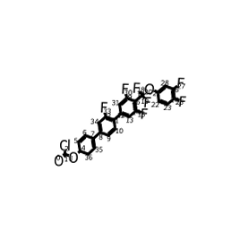 O=C(Cl)OC1C=CC(c2ccc(-c3cc(F)c(C(F)(F)Oc4ccc(F)c(F)c4)c(F)c3)c(F)c2)=CC1